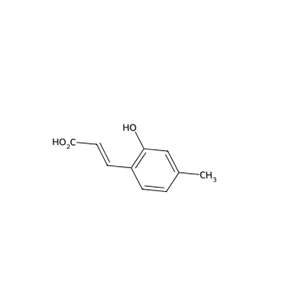 Cc1ccc(C=CC(=O)O)c(O)c1